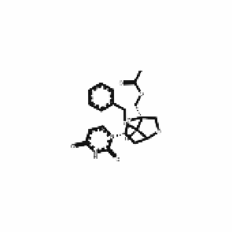 CC(=O)OC[C@@]12COC(C[C@H](n3ccc(=O)[nH]c3=O)O1)[C@@H]2OCc1ccccc1